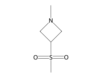 CN1CC(S(C)(=O)=O)C1